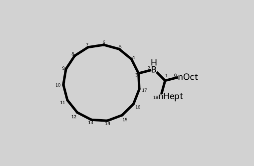 CCCCCCCCC(BC1CCCCCCCCCCCCCC1)CCCCCCC